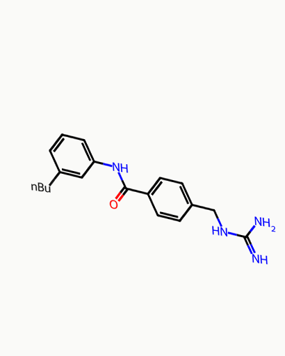 CCCCc1cccc(NC(=O)c2ccc(CNC(=N)N)cc2)c1